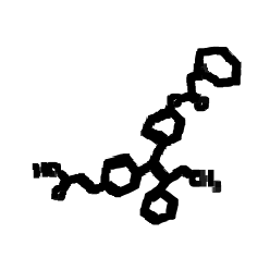 CC/C(=C(/c1ccc(/C=C/C(=O)O)cc1)c1ccc(OC(=O)CN2CCCCC2)cc1)c1ccccc1